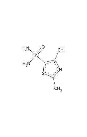 Cc1nc(C)c(P(N)(N)=O)s1